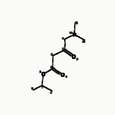 CC(C)OC(=O)CC(=O)CN(C)C